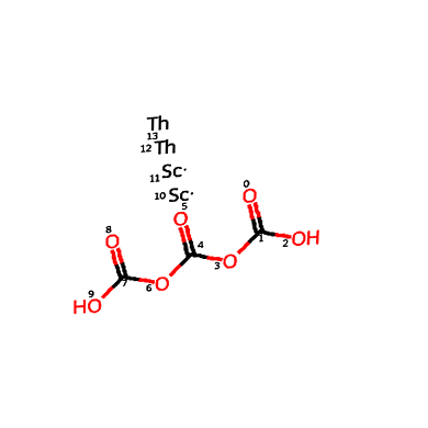 O=C(O)OC(=O)OC(=O)O.[Sc].[Sc].[Th].[Th]